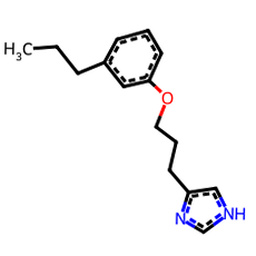 CCCc1cccc(OCCCc2c[nH]cn2)c1